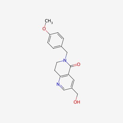 COc1ccc(CN2CCc3ncc(CO)cc3C2=O)cc1